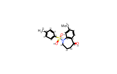 COc1ccc2c(c1)N(S(=O)(=O)c1ccc(C)cc1)CCCC2=O